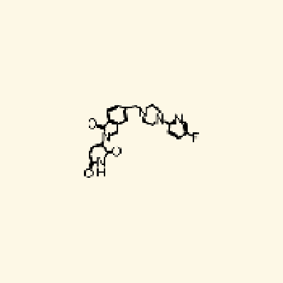 O=C1CCC(N2Cc3cc(CN4CCN(c5ccc(F)cn5)CC4)ccc3C2=O)C(=O)N1